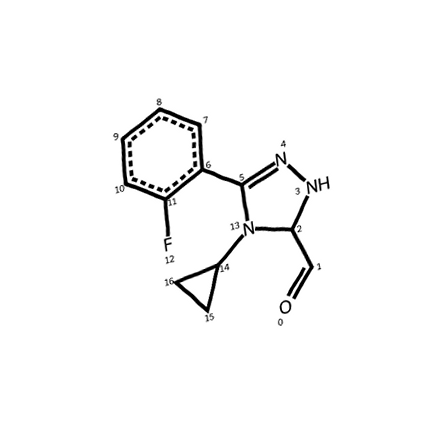 O=CC1NN=C(c2ccccc2F)N1C1CC1